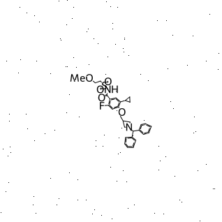 COCCS(=O)(=O)NC(=O)c1cc(C2CC2)c(OCC2CN(C(c3ccccc3)c3ccccc3)C2)cc1F